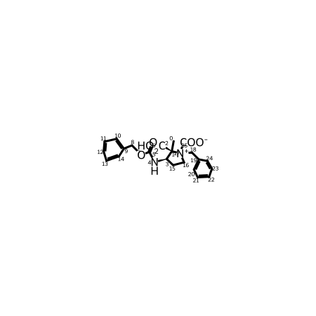 C[C@@]1(C(=O)O)[C@H](NC(=O)OCc2ccccc2)CC[N+]1(Cc1ccccc1)C(=O)[O-]